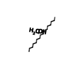 CCCCCCCCCCCCCCCC.CO.O